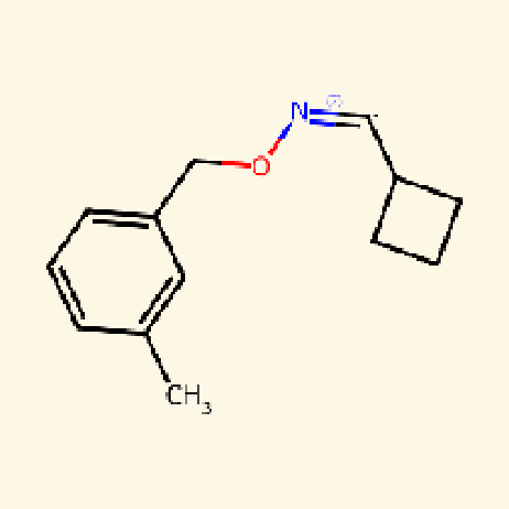 Cc1cccc(CO/N=[C]\C2CCC2)c1